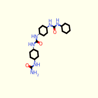 NC(=O)N[C@H]1CC[C@H](NC(=O)N[C@H]2CC[C@H](NC(=O)NC3CCCCC3)CC2)CC1